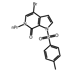 CCCn1cc(Br)c2ccn(S(=O)(=O)c3ccc(C)cc3)c2c1=O